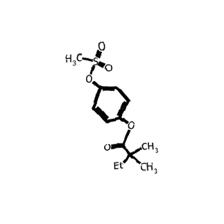 CCC(C)(C)C(=O)Oc1ccc(OS(C)(=O)=O)cc1